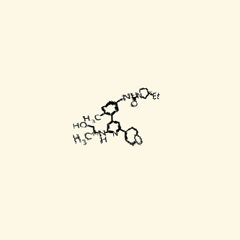 CC[C@@H]1CCN(C(=O)Nc2ccc(C)c(-c3cc(N[C@H](C)CO)nc(C4=CCOCC4)c3)c2)C1